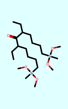 CCC(CCCC[Si](C)(OC)OC)C(=O)C(CC)CCCC[Si](C)(OC)OC